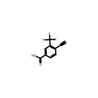 C#Cc1ccc(C(=O)O)cc1C(F)(F)F